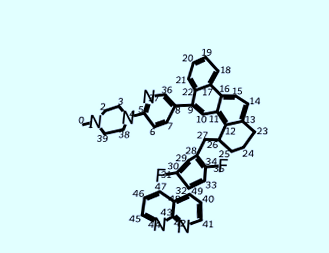 CN1CCN(c2ccc(-c3cc4c5c(ccc4c4ccccc34)CCCC5Cc3cc(F)ccc3F)cn2)CC1.c1cnc2ncccc2c1